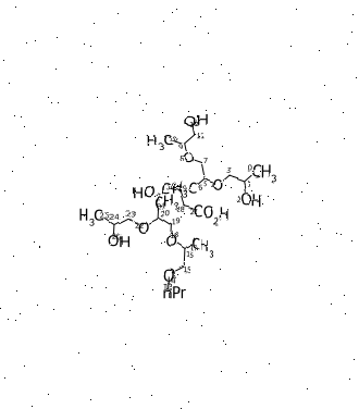 CC(O)COC(C)COC(C)CO.CCCOCC(C)OCC(C)OCC(C)O.O=C(O)CCC(=O)O